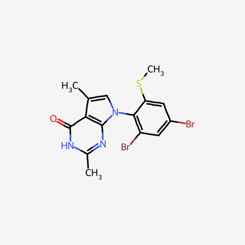 CSc1cc(Br)cc(Br)c1-n1cc(C)c2c(=O)[nH]c(C)nc21